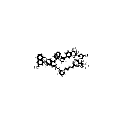 Cc1ncsc1-c1ccc([C@H](C)NC(=O)[C@@H]2C[C@@H](O)CN2C(=O)[C@@H](NC(=O)CCCCN2CCC[C@H]2COc2nc(N3CC4CCC(C3)N4)c3cnc(-c4cc(O)cc5cccc(F)c45)c(F)c3n2)C(C)(C)C)cc1